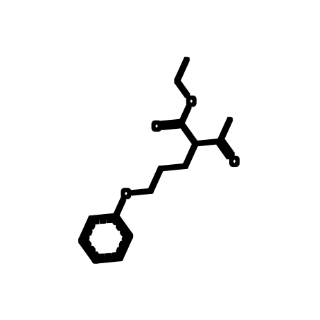 CCOC(=O)C(CCCOc1ccccc1)C(C)=O